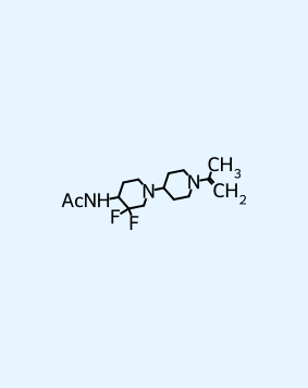 C=C(C)N1CCC(N2CCC(NC(C)=O)C(F)(F)C2)CC1